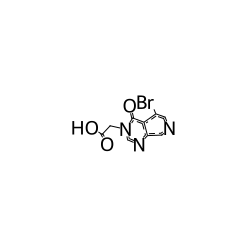 O=C(O)Cn1cnc2cncc(Br)c2c1=O